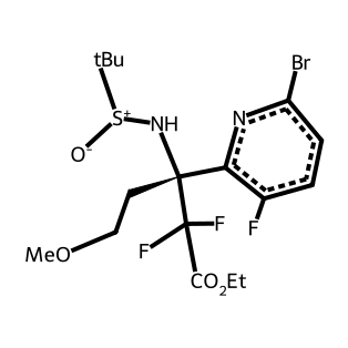 CCOC(=O)C(F)(F)[C@](CCOC)(N[S+]([O-])C(C)(C)C)c1nc(Br)ccc1F